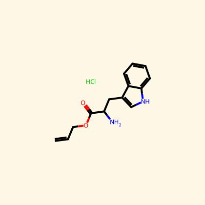 C=CCOC(=O)C(N)Cc1c[nH]c2ccccc12.Cl